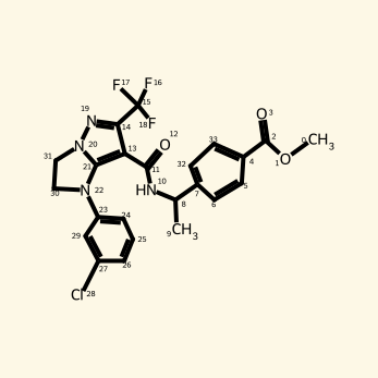 COC(=O)c1ccc(C(C)NC(=O)c2c(C(F)(F)F)nn3c2N(c2cccc(Cl)c2)CC3)cc1